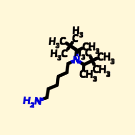 CC(N(CCCCCCN)C(C)C(C)(C)C)C(C)(C)C